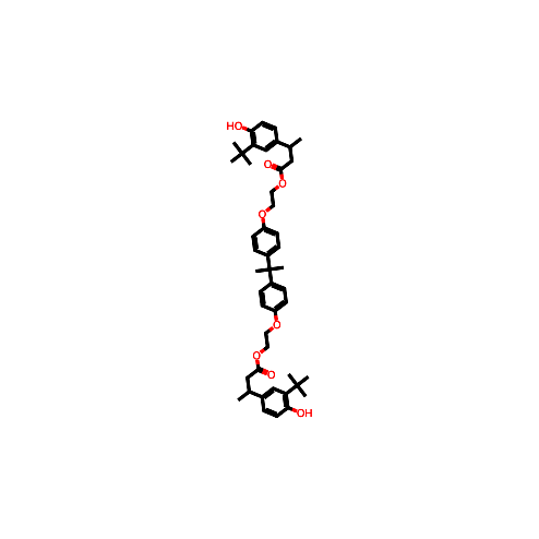 CC(CC(=O)OCCOc1ccc(C(C)(C)c2ccc(OCCOC(=O)CC(C)c3ccc(O)c(C(C)(C)C)c3)cc2)cc1)c1ccc(O)c(C(C)(C)C)c1